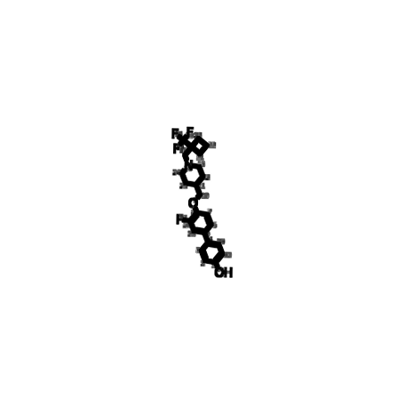 Oc1ccc(-c2ccc(OCC3CCN(CC4(C(F)(F)F)CCC4)CC3)c(F)c2)cc1